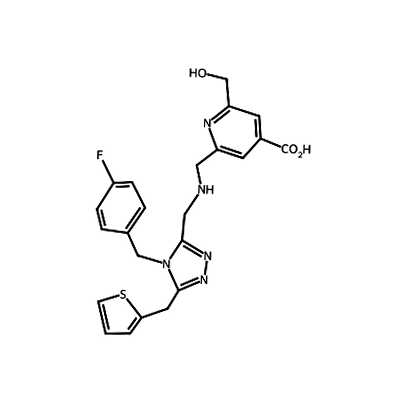 O=C(O)c1cc(CO)nc(CNCc2nnc(Cc3cccs3)n2Cc2ccc(F)cc2)c1